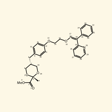 COC(=O)[C@]1(C)OC[C@H](Cc2ccc(OCCON=C(c3ccccc3)c3ccccn3)cc2)CO1